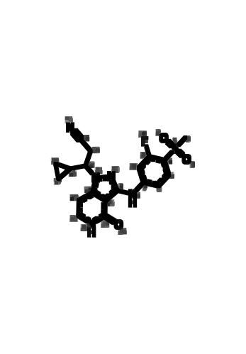 CS(=O)(=O)c1ccc(Nc2nn(C(CC#N)C3CC3)c3cc[nH]c(=O)c23)cc1F